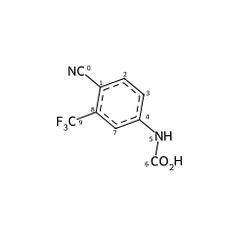 N#Cc1ccc(NC(=O)O)cc1C(F)(F)F